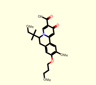 COCCCOc1cc2c(cc1OC)-c1cc(=O)c(C(=O)N=O)cn1C(C(C)(C)COC)C2